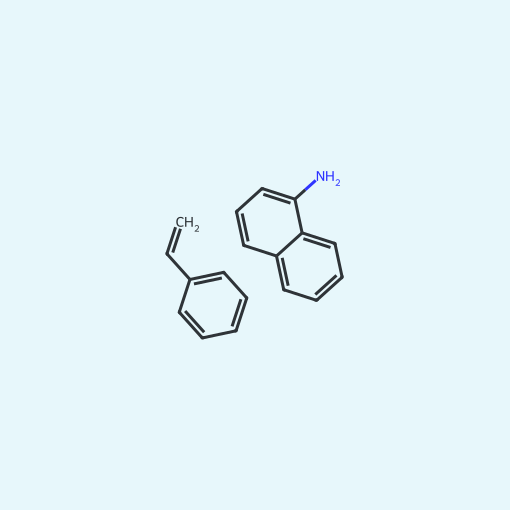 C=Cc1ccccc1.Nc1cccc2ccccc12